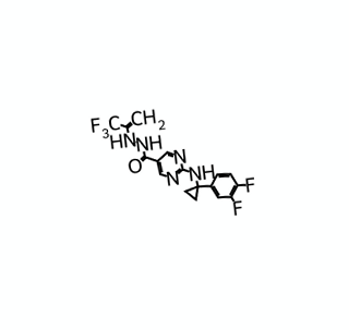 C=C(NNC(=O)c1cnc(NC2(c3ccc(F)c(F)c3)CC2)nc1)C(F)(F)F